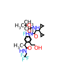 C[C@H](C(=O)NCC(F)(F)F)c1cc(F)c(NC(=O)[C@@H](NC(=O)OC(C)(C)C)C(C2CC2)C2CC2)cc1CCO